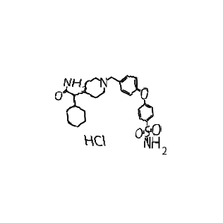 Cl.NC(=O)C(C1CCCCC1)C1CCN(Cc2ccc(Oc3ccc(S(N)(=O)=O)cc3)cc2)CC1